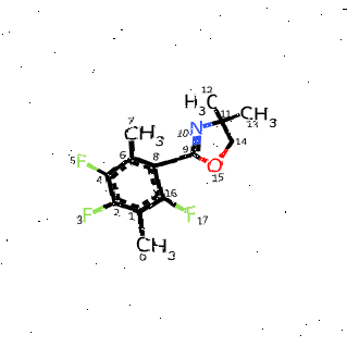 Cc1c(F)c(F)c(C)c(C2=NC(C)(C)CO2)c1F